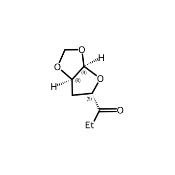 CCC(=O)[C@@H]1C[C@H]2OCO[C@H]2O1